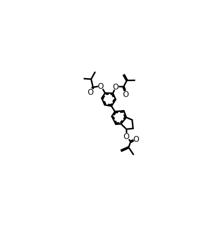 C=C(C)C(=O)Oc1cc(-c2ccc3c(c2)CCC3OC(=O)C(=C)C)ccc1OC(=O)C(C)C